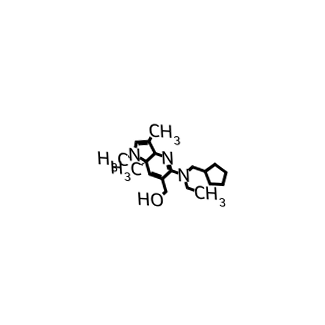 CCN(CC1CCCC1)C1=NC2C(C)=CN(C)[C@]2(C)C=C1CO